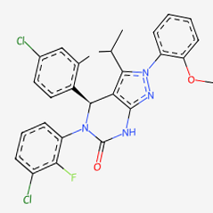 COc1ccccc1-n1nc2c(c1C(C)C)[C@H](c1ccc(Cl)cc1C)N(c1cccc(Cl)c1F)C(=O)N2